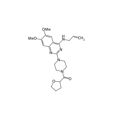 C=CCNc1nc(N2CCN(C(=O)C3CCCO3)CC2)nc2cc(OC)c(OC)cc12